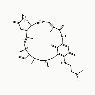 C=CC1C(C)C[C@H](C)Cc2c(NCCN(C)C)c(=C)cc(c2=C)NC(=C)/C(C)=C/C=C\C(CC)C(CC(=C)N)/C(C)=C/[C@@H]1C